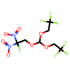 O=[N+]([O-])C(F)(COC(OCC(F)(F)F)OCC(F)(F)F)[N+](=O)[O-]